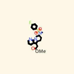 COC(=O)Cc1c2n(c3ncccc13)C[C@H](N(C)S(=O)(=O)c1ccc(F)cc1)CC2